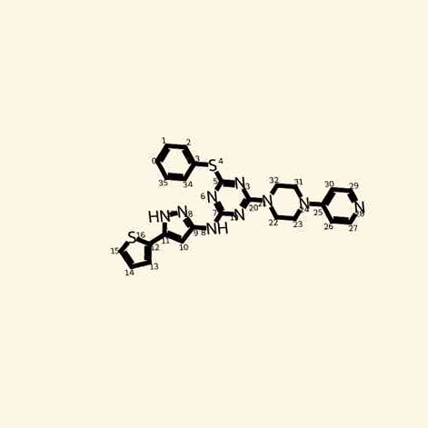 c1ccc(Sc2nc(Nc3cc(-c4cccs4)[nH]n3)nc(N3CCN(c4ccncc4)CC3)n2)cc1